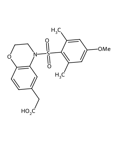 COc1cc(C)c(S(=O)(=O)N2CCOc3ccc(CC(=O)O)cc32)c(C)c1